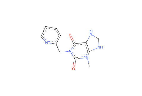 Cn1c2c(c(=O)n(Cc3ccccn3)c1=O)NCN2